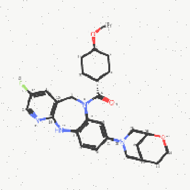 CC(C)O[C@H]1CC[C@H](C(=O)N2Cc3cc(F)cnc3Nc3ccc(N4CC5CCOC(C5)C4)cc32)CC1